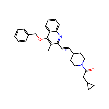 Cc1c(/C=C/C2CCN(C(=O)CC3CC3)CC2)nc2ccccc2c1OCc1ccccc1